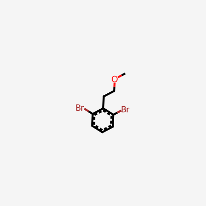 COCCc1c(Br)cccc1Br